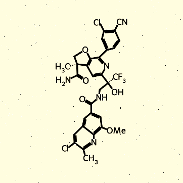 COc1cc(C(=O)NC[C@](O)(c2cc3c(c(-c4ccc(C#N)c(Cl)c4)n2)OC[C@]3(C)C(N)=O)C(F)(F)F)cc2cc(Cl)c(C)nc12